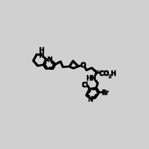 O=C(O)[C@H](CCOC1CC(CCc2ccc3c(n2)NCCC3)C1)NCc1c(Cl)cncc1Br